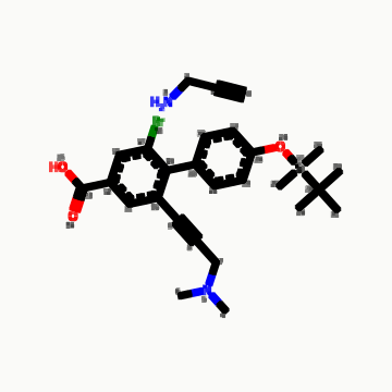 C#CCN.CN(C)CC#Cc1cc(C(=O)O)cc(Br)c1-c1ccc(O[Si](C)(C)C(C)(C)C)cc1